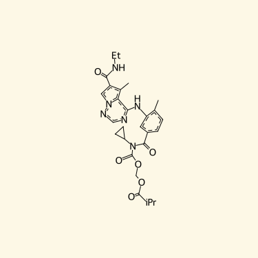 CCNC(=O)c1cn2ncnc(Nc3cc(C(=O)N(C(=O)OCOC(=O)C(C)C)C4CC4)ccc3C)c2c1C